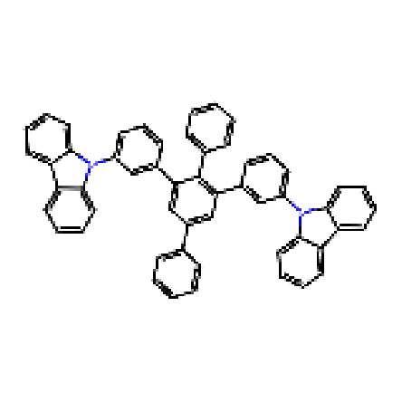 c1ccc(-c2cc(-c3cccc(-n4c5ccccc5c5ccccc54)c3)c(-c3ccccc3)c(-c3cccc(-n4c5ccccc5c5ccccc54)c3)c2)cc1